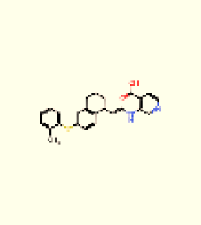 Cc1ccccc1Sc1ccc2c(c1)CCCC2/C=C/Nc1cnccc1C(=O)O